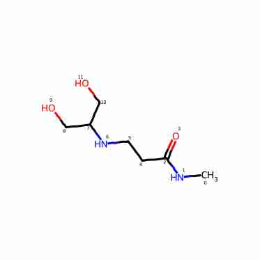 CNC(=O)CCNC(CO)CO